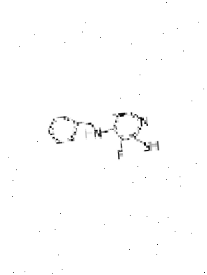 Fc1c(NCc2ccccc2)[c]cnc1S